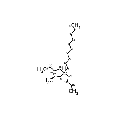 CCCCCCCCCC[PH](CCC)(CCCC)CCCC